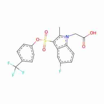 Cc1c(S(=O)(=O)Oc2ccc(C(F)(F)F)cc2)c2cc(F)ccc2n1CC(=O)O